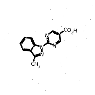 Cc1nn(-c2ncc(C(=O)O)cn2)c2ccccc12